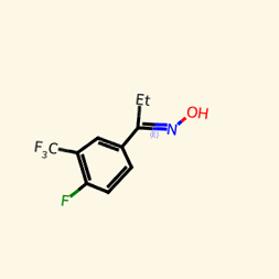 CC/C(=N\O)c1ccc(F)c(C(F)(F)F)c1